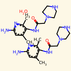 Cc1cc(N)nc(C)c1NC(=O)CN1CCNCC1.Cc1cc(N)nc(C)c1NC(=O)CN1CCNCC1.O